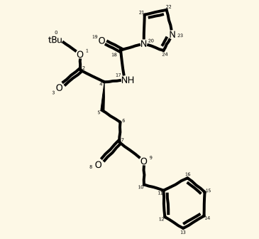 CC(C)(C)OC(=O)[C@H](CCC(=O)OCc1ccccc1)NC(=O)n1ccnc1